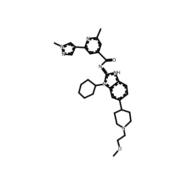 COCCN1CCC(c2ccc3[nH]/c(=N\C(=O)c4cc(C)nc(-c5cnn(C)c5)c4)n(C4CCCCC4)c3c2)CC1